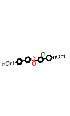 CCCCCCCCc1ccc(-c2ccc(OC(=O)c3ccc(C4CCC(CCCCCCCC)CC4)c(Cl)c3)cc2)cc1